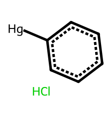 Cl.[Hg][c]1ccccc1